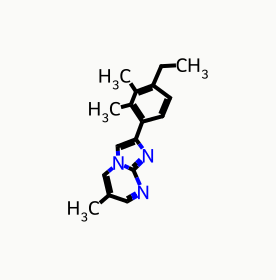 CCc1ccc(-c2cn3cc(C)cnc3n2)c(C)c1C